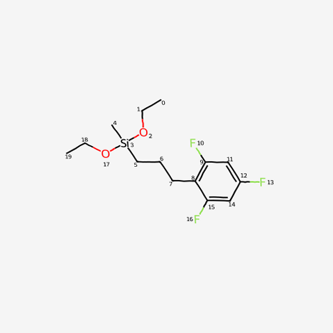 CCO[Si](C)(CCCc1c(F)cc(F)cc1F)OCC